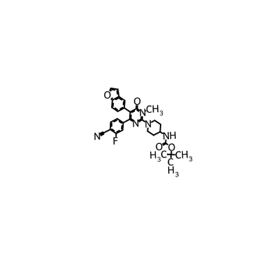 Cn1c(N2CCC(NC(=O)OC(C)(C)C)CC2)nc(-c2ccc(C#N)c(F)c2)c(-c2ccc3occc3c2)c1=O